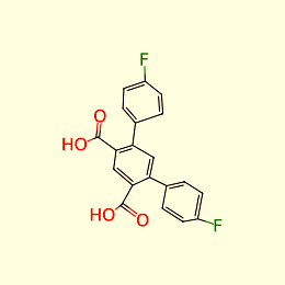 O=C(O)c1cc(C(=O)O)c(-c2ccc(F)cc2)cc1-c1ccc(F)cc1